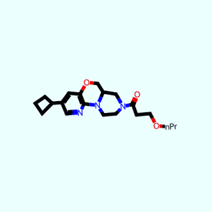 CCCOCCC(=O)N1CCN2c3ncc(C4CCC4)cc3OCC2C1